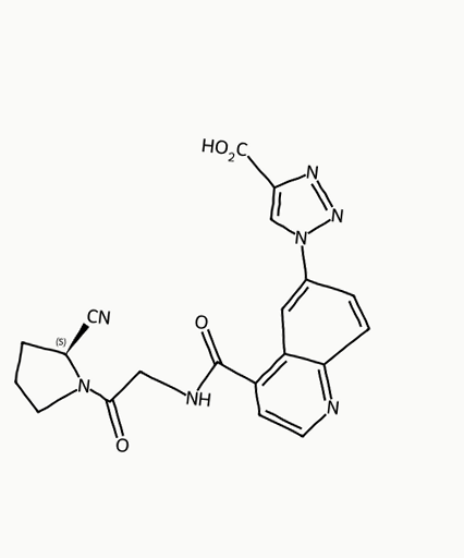 N#C[C@@H]1CCCN1C(=O)CNC(=O)c1ccnc2ccc(-n3cc(C(=O)O)nn3)cc12